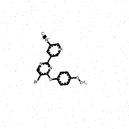 [C-]#[N+]c1cncc(-c2ncc(Br)c(Oc3ccc(OC)cc3)n2)c1